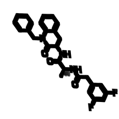 C[C@H](NC(=O)Cc1cc(F)cc(F)c1)C(=O)NC1Cc2ccccc2N(Cc2ccccc2)C1=O